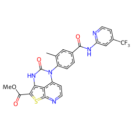 COC(=O)c1sc2nccc3c2c1NC(=O)N3c1ccc(C(=O)Nc2cc(C(F)(F)F)ccn2)cc1C